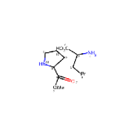 CC(C)CC(N)C(=O)O.COC(=O)C1CCCN1